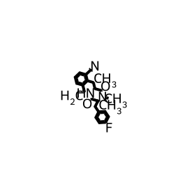 C=Cc1cccc(C#N)c1C(C)C1NC(=O)C(C)(Cc2ccc(F)cc2)N(C)C1=O